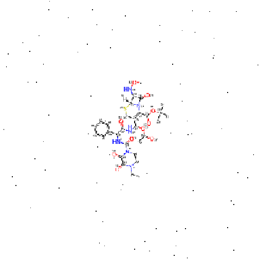 CCN1CCN(C(=O)NC(C(=O)NC(OC(C)=O)C2=C(C(=O)OC(C)(C)C)N3C(=O)[C@H](NO)[C@H]3SC2)c2ccccc2)C(=O)C1=O